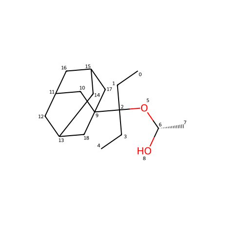 CCC(CC)(O[C@H](C)O)C12CC3CC(CC(C3)C1)C2